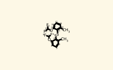 Cc1cccc(OC(F)F)c1SSc1c(C)cccc1OC(F)F